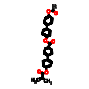 C=C(C)C(=O)Oc1ccc(-c2ccc(C(=O)Oc3ccc(-c4ccc(OC(=O)CC)cc4)cc3)cc2)cc1